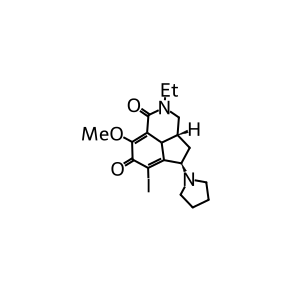 CCN1C[C@@H]2C[C@@H](N3CCCC3)C3=C(I)C(=O)C(OC)=C(C1=O)C32